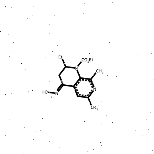 CCOC(=O)N1c2c(cc(C)nc2C)C(=NO)CC1CC